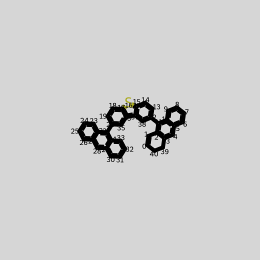 C1=Cc2c(cc3ccccc3c2-c2ccc3sc4ccc(-c5c6ccccc6cc6ccccc56)cc4c3c2)CC1